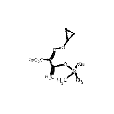 C=C(O[Si](C)(C)C(C)(C)C)C(=NOC1CC1)C(=O)OCC